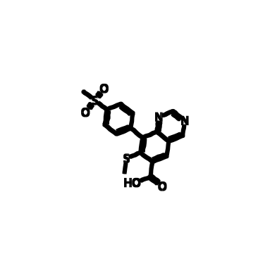 CSc1c(C(=O)O)cc2cncnc2c1-c1ccc(S(C)(=O)=O)cc1